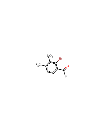 CCC(=O)c1ccc(C(F)(F)F)c([N+](=O)[O-])c1Br